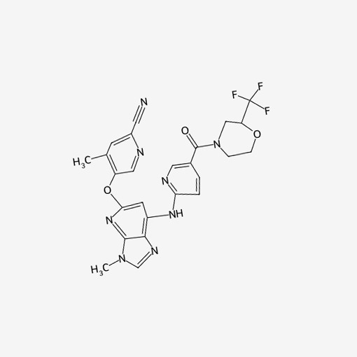 Cc1cc(C#N)ncc1Oc1cc(Nc2ccc(C(=O)N3CCOC(C(F)(F)F)C3)cn2)c2ncn(C)c2n1